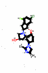 CCc1nc(C)cn1-c1ccc(O[C@H]2c3cc(Cl)cc(F)c3C[C@@H]2N2CC[C@@H](O)C2)cc1